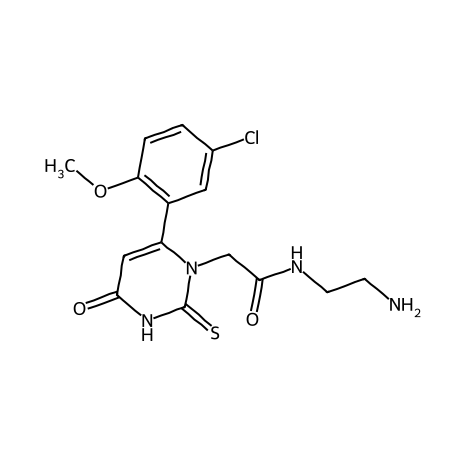 COc1ccc(Cl)cc1-c1cc(=O)[nH]c(=S)n1CC(=O)NCCN